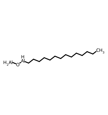 CCCCCCCCCCCCC[CH2][AlH][O][AlH2]